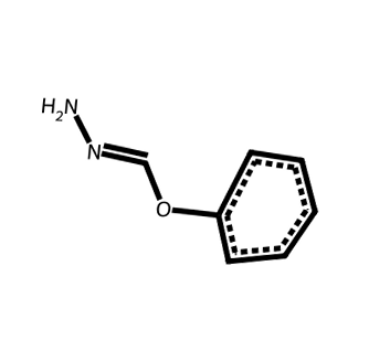 NN=COc1ccccc1